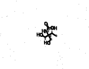 CCC(CO)(CO)NC(=O)O